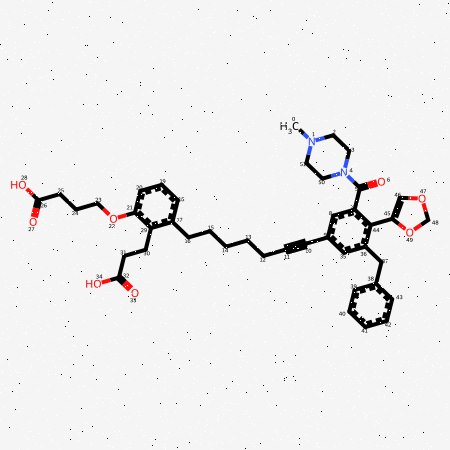 CN1CCN(C(=O)c2cc(C#CCCCCCc3cccc(OCCCC(=O)O)c3CCC(=O)O)cc(Cc3ccccc3)c2C2=COCO2)CC1